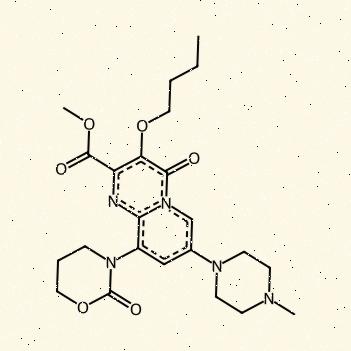 CCCCOc1c(C(=O)OC)nc2c(N3CCCOC3=O)cc(N3CCN(C)CC3)cn2c1=O